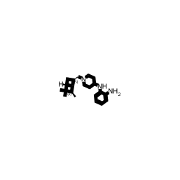 C[C@@H]1C2[C@@H](CN3CCC(Nc4ccccc4N)CC3)C[C@H]2C1(C)C